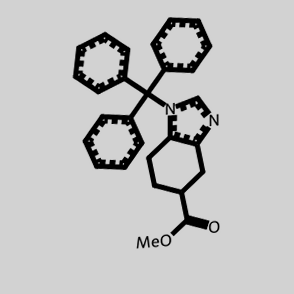 COC(=O)C1CCc2c(ncn2C(c2ccccc2)(c2ccccc2)c2ccccc2)C1